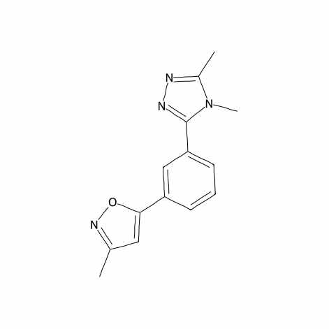 Cc1cc(-c2cccc(-c3nnc(C)n3C)c2)on1